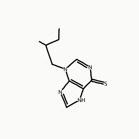 CCC(C)Cn1cnc(=S)c2[nH]cnc21